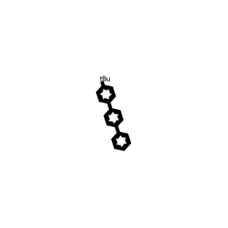 CC(C)(C)c1ccc(-c2ccc(-c3cc[c]cc3)cc2)cc1